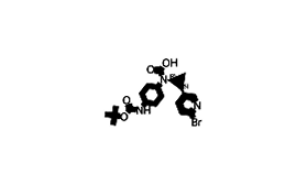 CC(C)(C)OC(=O)NC1CCC(N(C(=O)O)[C@@H]2C[C@H]2c2ccc(Br)nc2)CC1